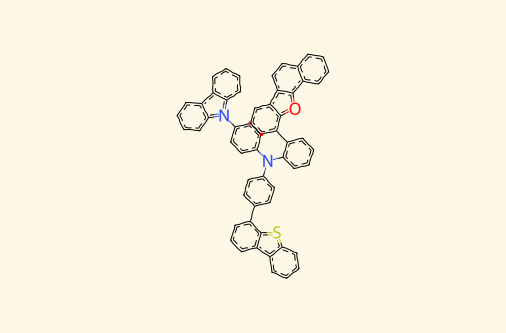 c1ccc(N(c2ccc(-c3cccc4c3sc3ccccc34)cc2)c2ccc(-n3c4ccccc4c4ccccc43)cc2)c(-c2cccc3c2oc2c4ccccc4ccc32)c1